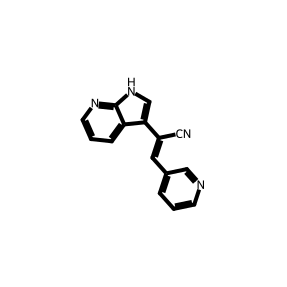 N#CC(=Cc1cccnc1)c1c[nH]c2ncccc12